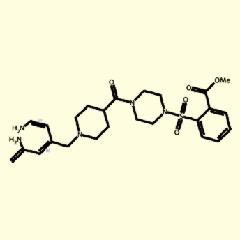 C=C(N)/C=C(\C=C/N)CN1CCC(C(=O)N2CCN(S(=O)(=O)c3ccccc3C(=O)OC)CC2)CC1